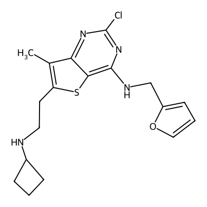 Cc1c(CCNC2CCC2)sc2c(NCc3ccco3)nc(Cl)nc12